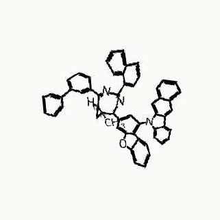 C[C@@]12C[C@@H]1C(c1cccc(-c3ccccc3)c1)=NC(c1cccc3ccccc13)=NC2c1cc(-n2c3ccccc3c3cc4ccccc4cc32)c2c(c1)oc1ccccc12